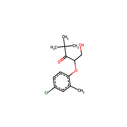 Cc1cc(Cl)ccc1OC(CO)C(=O)C(C)(C)C